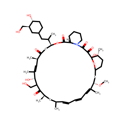 CO[C@H]1CC2CC[C@@H](C)[C@@](O)(O2)C(=O)C(=O)N2CCCC[C@H]2C(=O)O[C@H](C(C)CC2CC[C@@H](O)[C@H](CO)C2)CC(=O)[C@H](C)/C=C(\C)[C@@H](O)C(CO)C(=O)[C@H](C)CC(C)/C=C/C=C/C=C/1C